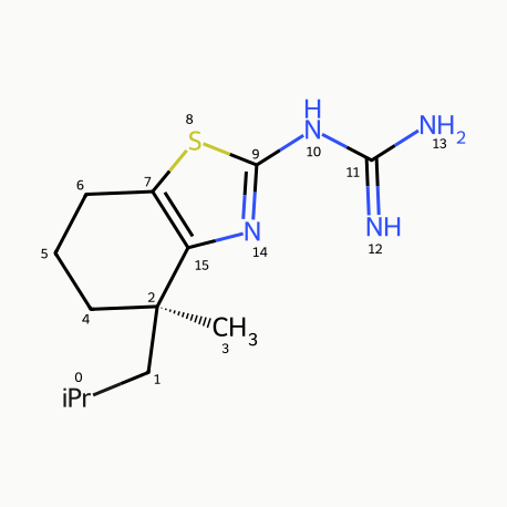 CC(C)C[C@@]1(C)CCCc2sc(NC(=N)N)nc21